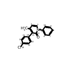 Cc1ccn(-c2ccccc2)c(=O)c1-c1ccc(Cl)cc1